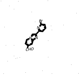 O=Cc1ccn2cc(-c3cccc(Br)n3)nc2c1